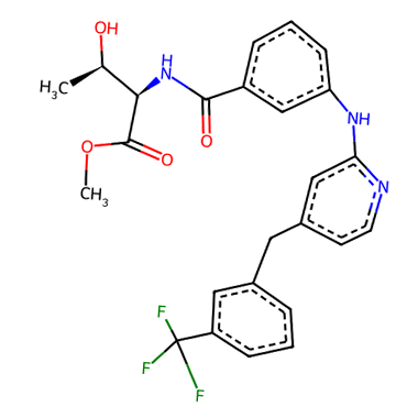 COC(=O)[C@H](NC(=O)c1cccc(Nc2cc(Cc3cccc(C(F)(F)F)c3)ccn2)c1)[C@@H](C)O